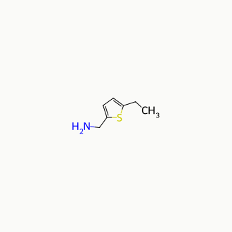 CCc1ccc(CN)s1